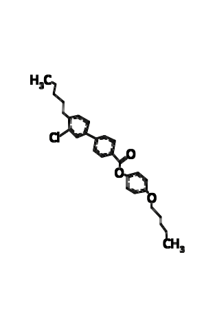 CCCCCOc1ccc(OC(=O)c2ccc(-c3ccc(CCCCC)c(Cl)c3)cc2)cc1